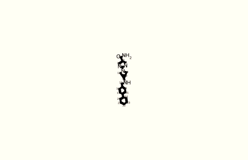 NC(=O)c1cnc(N2CC3C(C2)C3NCc2ccc(-c3ccccc3)cc2)nc1